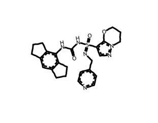 O=C(Nc1c2c(cc3c1CCC3)CCC2)NS(=O)(=NCc1ccncc1)c1cnn2c1OCCC2